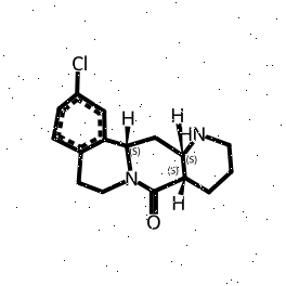 O=C1[C@H]2CCCN[C@H]2C[C@H]2c3cc(Cl)ccc3CCN12